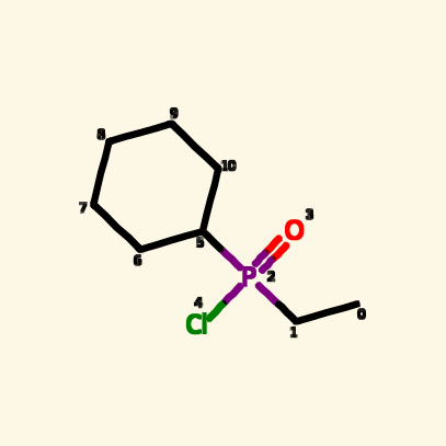 CCP(=O)(Cl)C1CCCCC1